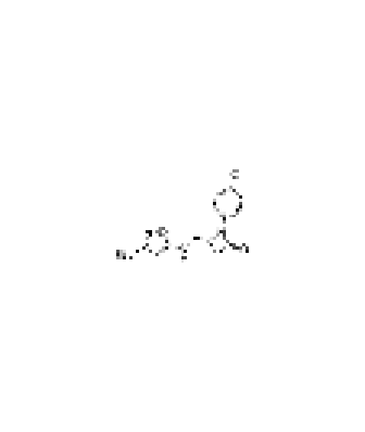 CC(C)(C)c1cc(NC[C@@H]2CC(=O)N2c2ccc(Cl)cc2)on1